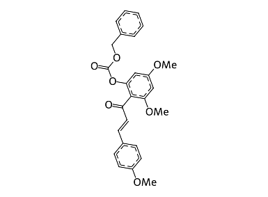 COc1ccc(C=CC(=O)c2c(OC)cc(OC)cc2OC(=O)OCc2ccccc2)cc1